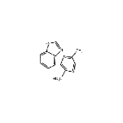 Cc1ccc(C(=O)O)cc1.c1ccc2[nH]cnc2c1